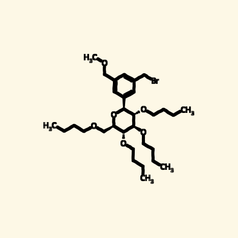 CCCCOC[C@H]1O[C@@H](c2cc(CBr)cc(COC)c2)[C@H](OCCCC)[C@@H](OCCCC)[C@@H]1OCCCC